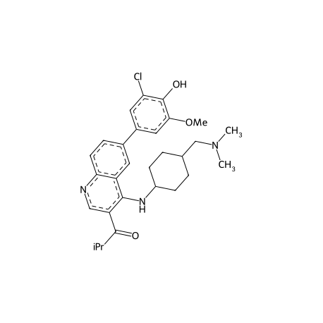 COc1cc(-c2ccc3ncc(C(=O)C(C)C)c(NC4CCC(CN(C)C)CC4)c3c2)cc(Cl)c1O